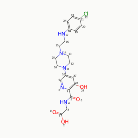 O=C(O)CNC(=O)c1ncc(N2CCN(CCNc3ccc(Cl)cc3)CC2)cc1O